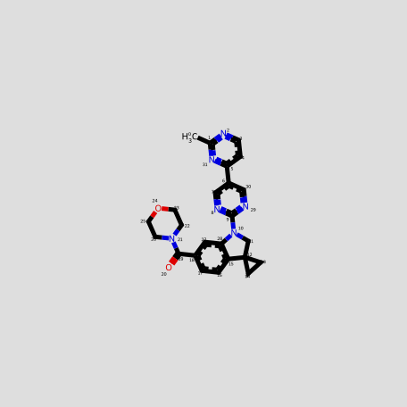 Cc1nccc(-c2cnc(N3CC4(CC4)c4ccc(C(=O)N5CCOCC5)cc43)nc2)n1